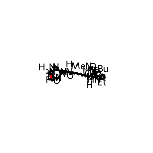 CC[C@H](NC(=O)[C@H]1C[C@@H](NC(=O)CCCCCCCCC(=O)NCCn2cc3c(n2)CN(C)C(=O)c2ccc(F)cc2[C@H]2CCCN2c2cc-3cnc2N)CN1C(=O)[C@H](NC(=O)[C@@H](C)NC)C(C)(C)C)c1ccccc1